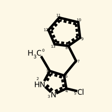 Cc1[nH]nc(Cl)c1[CH]c1ccccc1